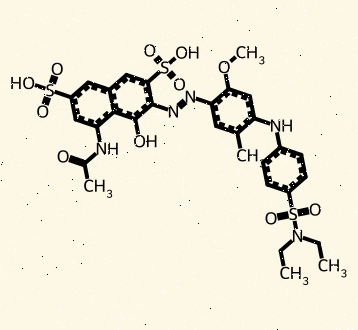 CCN(CC)S(=O)(=O)c1ccc(Nc2cc(OC)c(/N=N/c3c(S(=O)(=O)O)cc4cc(S(=O)(=O)O)cc(NC(C)=O)c4c3O)cc2C)cc1